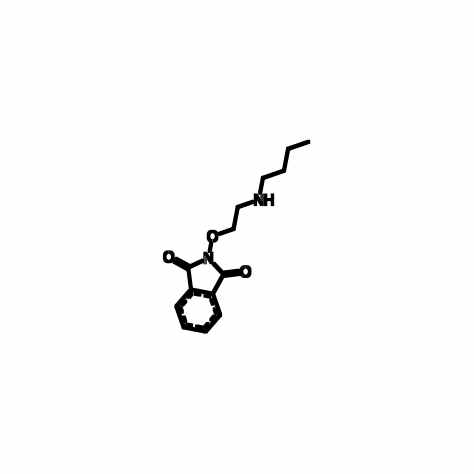 CCCCNCCON1C(=O)c2ccccc2C1=O